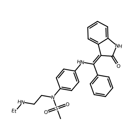 CCNCCN(c1ccc(NC(=C2C(=O)Nc3ccccc32)c2ccccc2)cc1)S(C)(=O)=O